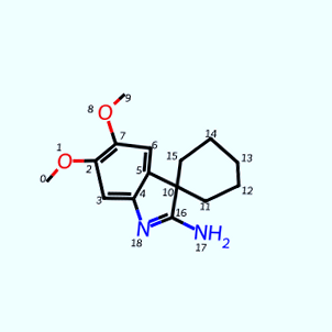 COc1cc2c(cc1OC)C1(CCCCC1)C(N)=N2